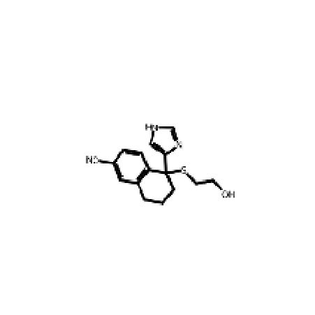 N#Cc1ccc2c(c1)CCCC2(SCCO)c1c[nH]cn1